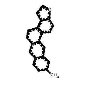 Cc1ccc2cc3ccc4c5ccoc5ccc4c3cc2c1